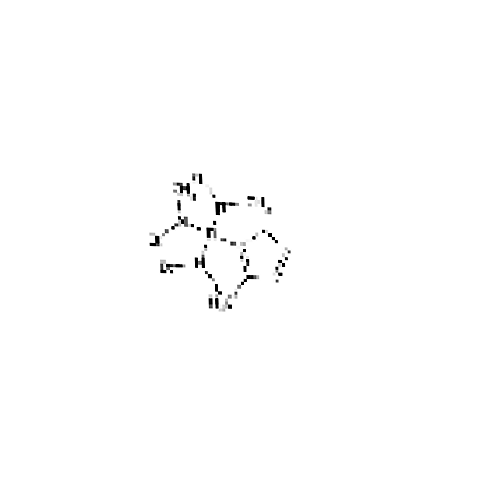 CC[N](C)[Ti]([C]1=C(C)C=CC1)([N](C)CC)[N](C)CC